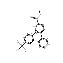 COC(=O)c1ccc(-c2ccccc2)c(-c2ccc(C(F)(F)F)cc2)n1